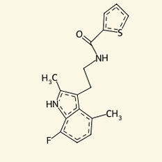 Cc1[nH]c2c(F)ccc(C)c2c1CCNC(=O)c1cccs1